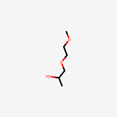 COCCOC[C](C)O